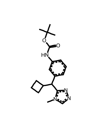 Cn1cnnc1C(c1cccc(NC(=O)OC(C)(C)C)c1)C1CCC1